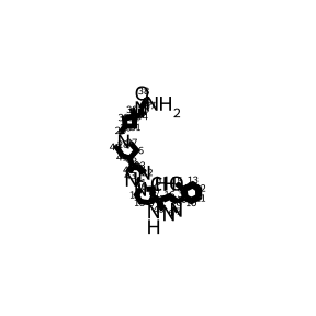 C[C@@H]1c2c([nH]c3nnc(-c4ccccc4O)cc23)CCN1c1ncc(C2CCN(CC3CC4(C3)CN(C(N)=O)C4)CC2)cn1